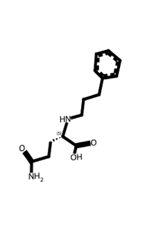 NC(=O)CC[C@H](NCCCc1ccccc1)C(=O)O